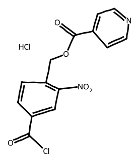 Cl.O=C(Cl)c1ccc(COC(=O)c2ccncc2)c([N+](=O)[O-])c1